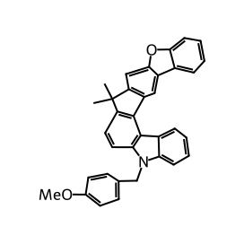 COc1ccc(Cn2c3ccccc3c3c4c(ccc32)C(C)(C)c2cc3oc5ccccc5c3cc2-4)cc1